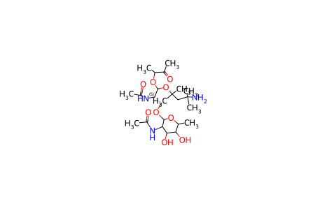 CC(=O)NC1C(OC[C@H](NC(C)=O)C(OC(C)C(C)=O)OC(C)(C)CC(C)(C)N)OC(C)C(O)C1O